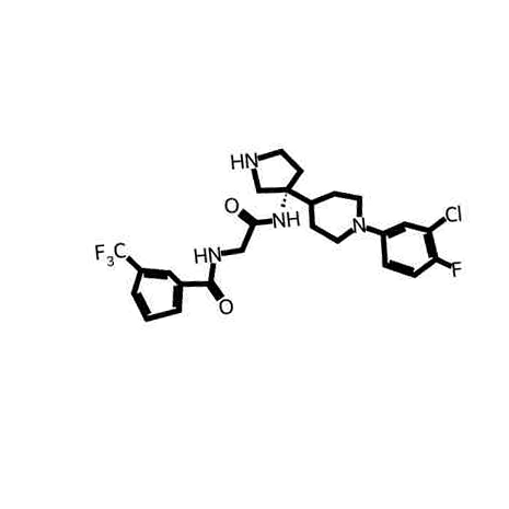 O=C(CNC(=O)c1cccc(C(F)(F)F)c1)N[C@@]1(C2CCN(c3ccc(F)c(Cl)c3)CC2)CCNC1